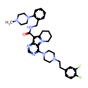 CN1CCN(c2ccccc2CNC(=O)c2c3n(c4c(N5CCN(CCc6ccc(F)c(F)c6)CC5)ncnc24)CCCC3)CC1